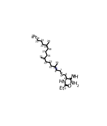 CCC(=O)NC(CSC/C=C(\C)CCCC(C)CCCC(C)CCCC(C)C)C(=N)N